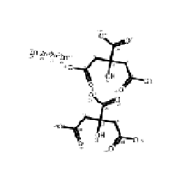 O=C([O-])CC(O)(CC(=O)[O-])C(=O)[O-].O=C([O-])CC(O)(CC(=O)[O-])C(=O)[O-].[Zn+2].[Zn+2].[Zn+2].[Zn]